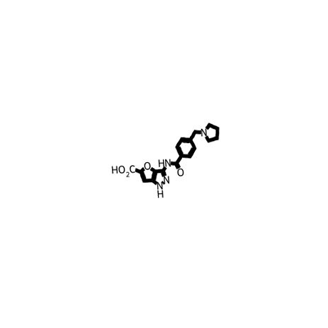 O=C(Nc1n[nH]c2cc(C(=O)O)oc12)c1ccc(CN2CCCC2)cc1